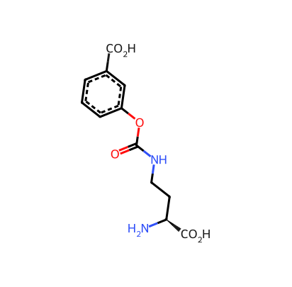 N[C@@H](CCNC(=O)Oc1cccc(C(=O)O)c1)C(=O)O